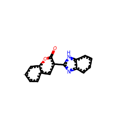 O=c1oc2c[c]ccc2cc1-c1nc2ccccc2[nH]1